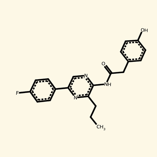 CCCc1nc(-c2ccc(F)cc2)cnc1NC(=O)Cc1ccc(O)cc1